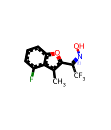 Cc1c(/C(=N\O)C(F)(F)F)oc2cccc(F)c12